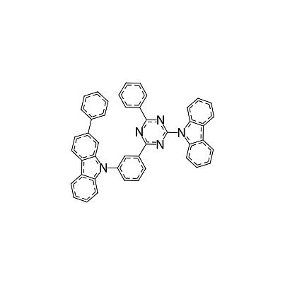 c1ccc(-c2ccc3c4ccccc4n(-c4cccc(-c5nc(-c6ccccc6)nc(-n6c7ccccc7c7ccccc76)n5)c4)c3c2)cc1